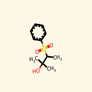 CC(C(C)(C)O)S(=O)(=O)c1ccccc1